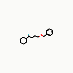 FC(CCCOCc1ccccc1)C1CCCCC1